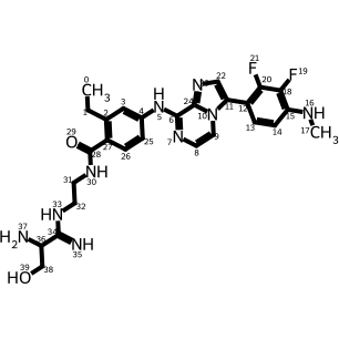 CCc1cc(Nc2nccn3c(-c4ccc(NC)c(F)c4F)cnc23)ccc1C(=O)NCCNC(=N)C(N)CO